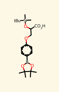 CC1(C)OB(c2ccc(OCC(O[Si](C)(C)C(C)(C)C)C(=O)O)cc2)OC1(C)C